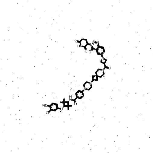 CC1(C)[C@H](NC(=O)c2ccc(N3CCN(C4CC5(CCN(C(=O)C6CN(c7ccc8nnn(C9CCC(=O)NC9=O)c(=O)c8c7)C6)CC5)C4)CC3)cc2)C(C)(C)[C@H]1Oc1ccc(C#N)c(Cl)c1